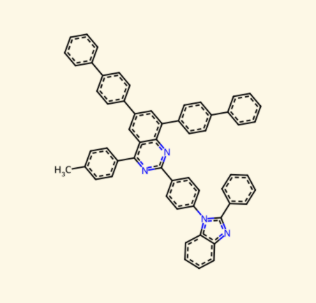 Cc1ccc(-c2nc(-c3ccc(-n4c(-c5ccccc5)nc5ccccc54)cc3)nc3c(-c4ccc(-c5ccccc5)cc4)cc(-c4ccc(-c5ccccc5)cc4)cc23)cc1